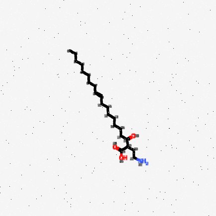 CCCCCCCCC=CCCCCCCCC(=O)C(CCN)C(=O)O